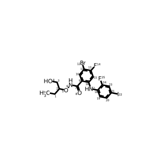 CCC(CO)ONC(=O)c1cc(Br)c(F)cc1Nc1ccc(I)cc1F